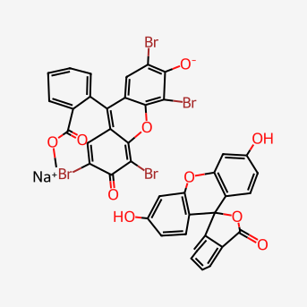 COC(=O)c1ccccc1-c1c2cc(Br)c(=O)c(Br)c-2oc2c(Br)c([O-])c(Br)cc12.O=C1OC2(c3ccc(O)cc3Oc3cc(O)ccc32)c2ccccc21.[Na+]